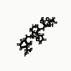 O=C(Cc1ncnc(NCc2cccc(C(F)F)c2F)c1C1CCCO1)NC1(C(F)(F)F)CC1